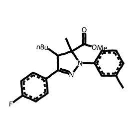 CCCCC1C(c2ccc(F)cc2)=NN(c2cccc(C)c2)C1(C)C(=O)OC